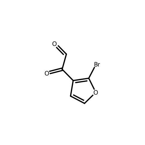 O=CC(=O)c1ccoc1Br